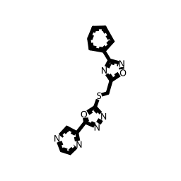 c1ccc(-c2noc(CSc3nnc(-c4cnccn4)o3)n2)cc1